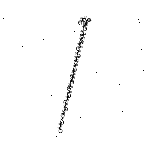 O=CCCOCCOCCOCCOCCOCCOCCOCCOCCOCCOCCOCCOCCOCCOCCOCCN1C(=O)C=CC1=O